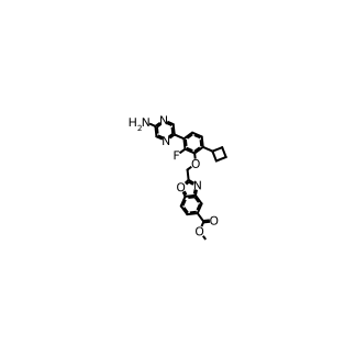 COC(=O)c1ccc2oc(COc3c(C4CCC4)ccc(-c4cnc(N)cn4)c3F)nc2c1